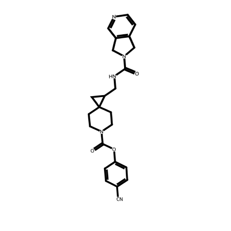 N#Cc1ccc(OC(=O)N2CCC3(CC2)CC3CNC(=O)N2Cc3ccncc3C2)cc1